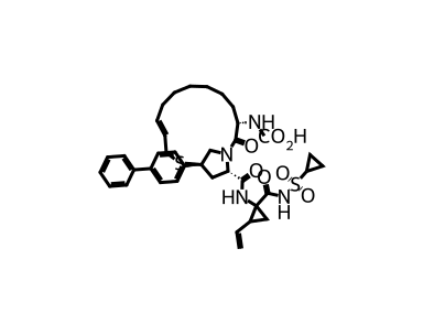 C=CC1CC1(NC(=O)[C@@H]1C[C@@]2(c3ccc(-c4ccccc4)cc3)CN1C(=O)[C@@H](NC(=O)O)CCCCCC/C=C/CS2)C(=O)NS(=O)(=O)C1CC1